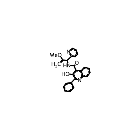 C=C(OC)C(NC(=O)c1c(O)c(-c2ccccc2)nc2ccccc12)c1ccccn1